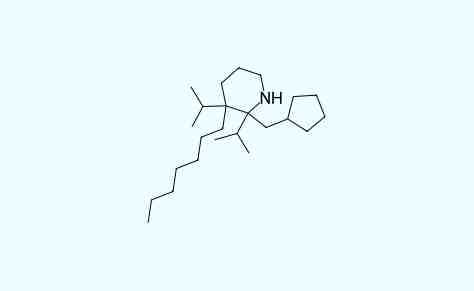 CCCCCCCC1(C(C)C)CCCNC1(CC1CCCC1)C(C)C